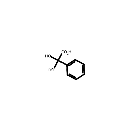 CCCC(O)(C(=O)O)c1ccccc1